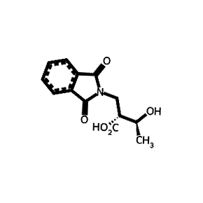 C[C@H](O)[C@@H](CN1C(=O)c2ccccc2C1=O)C(=O)O